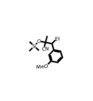 CCC(c1cccc(OC)c1)C(C)(C#N)O[Si](C)(C)C